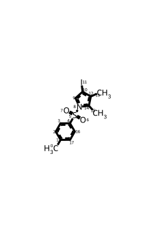 Cc1ccc(S(=O)(=O)n2cc(I)c(C)c2C)cc1